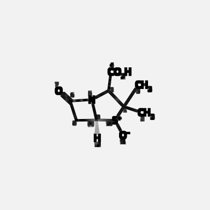 CC1(C)C(C(=O)O)N2C(=O)C[C@@H]2[S+]1[O-]